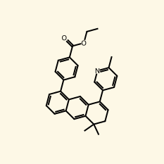 CCOC(=O)c1ccc(-c2cccc3cc4c(cc23)C(c2ccc(C)nc2)=CCC4(C)C)cc1